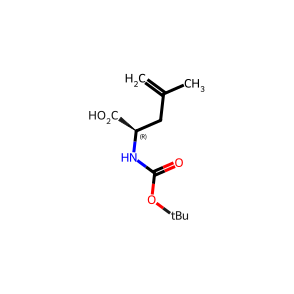 C=C(C)C[C@@H](NC(=O)OC(C)(C)C)C(=O)O